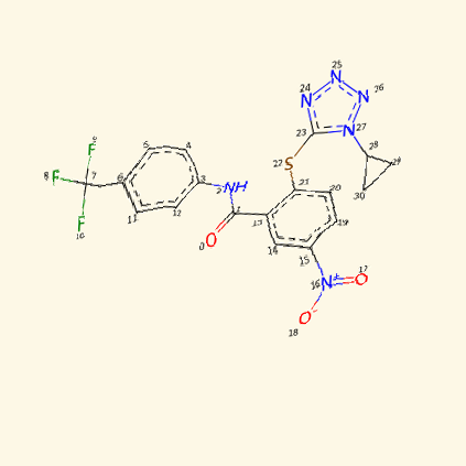 O=C(Nc1ccc(C(F)(F)F)cc1)c1cc([N+](=O)[O-])ccc1Sc1nnnn1C1CC1